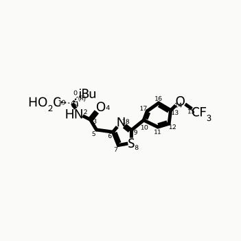 CC[C@@H](C)[C@H](NC(=O)Cc1csc(-c2ccc(OC(F)(F)F)cc2)n1)C(=O)O